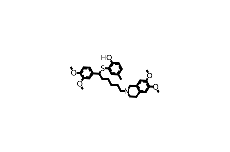 COc1ccc(C(CCCCCN2CCc3cc(OC)c(OC)cc3C2)Sc2cc(C)ccc2O)cc1OC